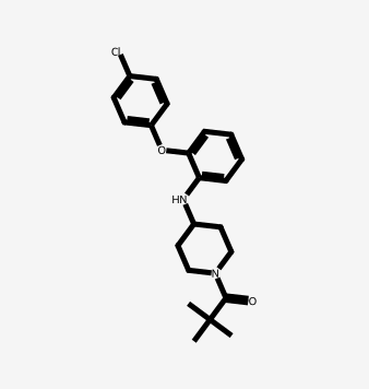 CC(C)(C)C(=O)N1CCC(Nc2ccccc2Oc2ccc(Cl)cc2)CC1